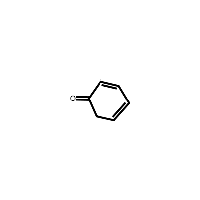 O=C1[C]=CC=CC1